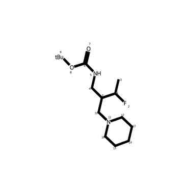 CC(F)C(CNC(=O)OC(C)(C)C)CN1CCCCC1